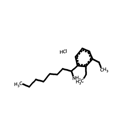 CCCCCCCC(N)c1cccc(CC)c1CC.Cl